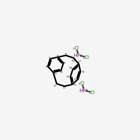 ClPCl.ClPCl.c1cc2ccc1CCc1ccc(cc1)CC2